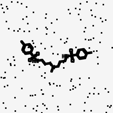 Cc1ccc(S(=O)(=O)NCCCN(C)CCCNS(=O)(=O)c2ccc(C)cc2)cc1